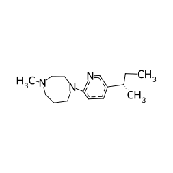 CC[C@H](C)c1ccc(N2CCCN(C)CC2)nc1